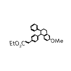 CCOC(=O)C=Cc1ccc(C2c3ccc(OC)cc3CCC2c2ccccc2)cc1